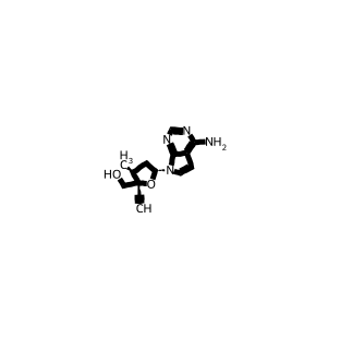 C#C[C@]1(CO)O[C@@H](n2ccc3c(N)ncnc32)C[C@@H]1C